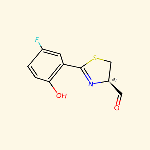 O=C[C@@H]1CSC(c2cc(F)ccc2O)=N1